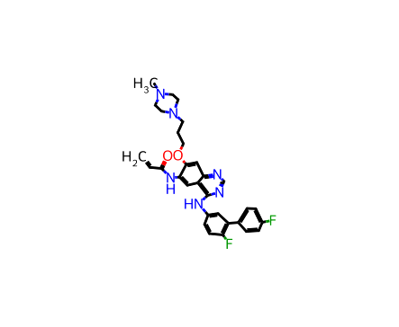 C=CC(=O)Nc1cc2c(Nc3ccc(F)c(-c4ccc(F)cc4)c3)ncnc2cc1OCCCN1CCN(C)CC1